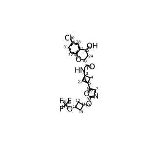 O=C(NC12CC(c3cnc(O[C@H]4C[C@@H](OC(F)(F)F)C4)o3)(C1)C2)[C@H]1C[C@@H](O)c2cc(Cl)ccc2O1